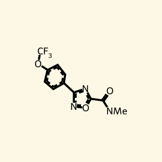 CNC(=O)c1nc(-c2ccc(OC(F)(F)F)cc2)no1